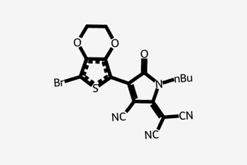 CCCCN1C(=O)C(c2sc(Br)c3c2OCCO3)=C(C#N)C1=C(C#N)C#N